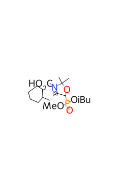 COP(=O)(OCC(C)C)C1OC(C)(C)N(C(=O)O)[C@H]1CC1CCCCC1